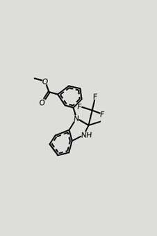 COC(=O)c1cccc(N2c3ccccc3NC2(C)C(F)(F)F)c1